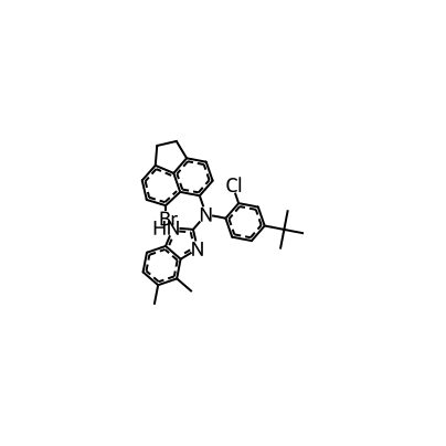 Cc1ccc2[nH]c(N(c3ccc(C(C)(C)C)cc3Cl)c3ccc4c5c(ccc(Br)c35)CC4)nc2c1C